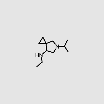 CCN[C@@H]1CN(C(C)C)CC12CC2